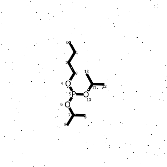 CCCCOP(OC(C)C)OC(C)C